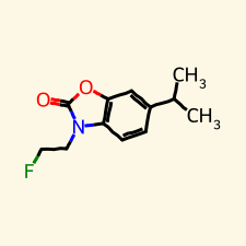 CC(C)c1ccc2c(c1)oc(=O)n2CCF